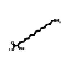 CCCCCC/C=C/CCCCCCC(O)C(=O)O